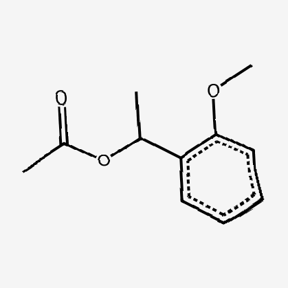 COc1ccccc1C(C)OC(C)=O